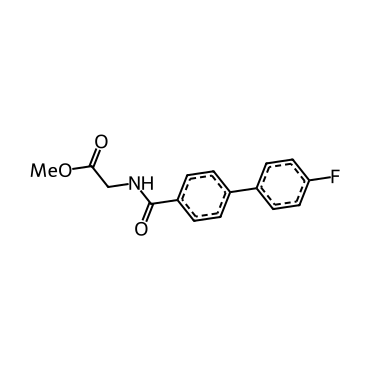 COC(=O)CNC(=O)c1ccc(-c2ccc(F)cc2)cc1